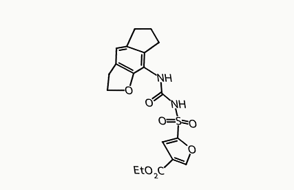 CCOC(=O)c1coc(S(=O)(=O)NC(=O)Nc2c3c(cc4c2OCC4)CCC3)c1